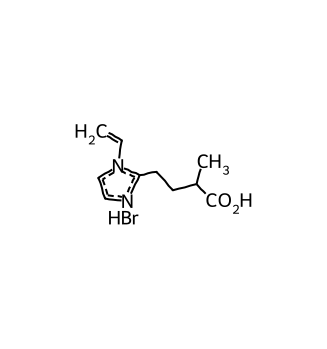 Br.C=Cn1ccnc1CCC(C)C(=O)O